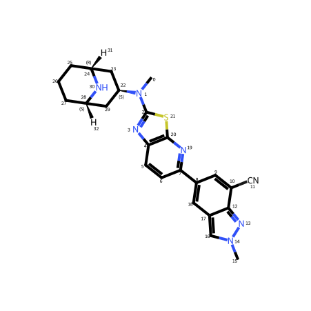 CN(c1nc2ccc(-c3cc(C#N)c4nn(C)cc4c3)nc2s1)[C@@H]1C[C@H]2CCC[C@@H](C1)N2